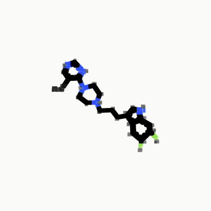 COc1cncnc1N1CCN(CCCc2c[nH]c3cc(F)c(F)cc23)CC1